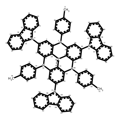 Cc1ccc(N2c3cc(-n4c5ccccc5c5ccccc54)cc4c3P3(=O)c5c2cc(-n2c6ccccc6c6ccccc62)cc5N(c2ccc(C)cc2)c2cc(-n5c6ccccc6c6ccccc65)cc(c23)N4c2ccc(C)cc2)cc1